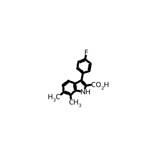 Cc1ccc2c(-c3ccc(F)cc3)c(C(=O)O)[nH]c2c1C